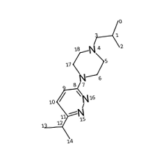 CC(C)CN1CCN(c2ccc(C(C)C)nn2)CC1